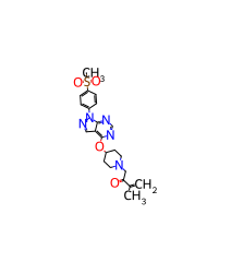 C=C(C)C(=O)CN1CCC(Oc2ncnc3c2cnn3-c2ccc(S(C)(=O)=O)cc2)CC1